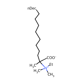 CCCCCCCCCCCCCCCCCCC(C)(C(=O)[O-])[N+](C)(C)CC